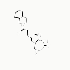 CN1CC(=O)Nc2ncc(C=CC(=O)N3CCc4ccccc4C3)cc2C1